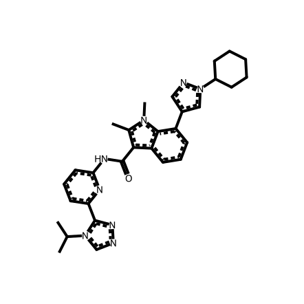 Cc1c(C(=O)Nc2cccc(-c3nncn3C(C)C)n2)c2cccc(-c3cnn(C4CCCCC4)c3)c2n1C